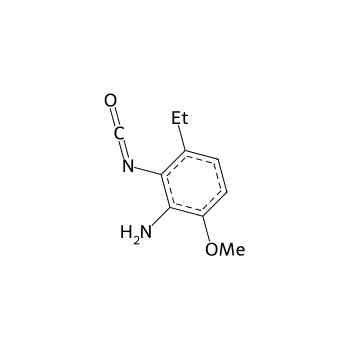 CCc1ccc(OC)c(N)c1N=C=O